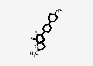 CCCC1CCC(C2CCC(c3cc4c(c(F)c3F)OC(C)CC4)CC2)CC1